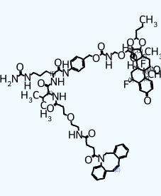 CCCC1O[C@@H]2CC3[C@@H]4C[C@H](F)C5=CC(=O)C=C[C@]5(C)[C@@]4(F)[C@@H](O)C[C@]3(C)[C@]2(C(=O)COCNC(=O)OCc2ccc(NC(=O)[C@H](CCCNC(N)=O)NC(=O)[C@@H](NC(=O)CCOCCNC(=O)CCC(=O)N3Cc4ccccc4/C=C\c4ccccc43)C(C)C)cc2)O1